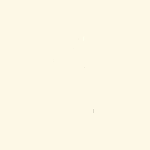 CCOC(=O)O.[LiH]